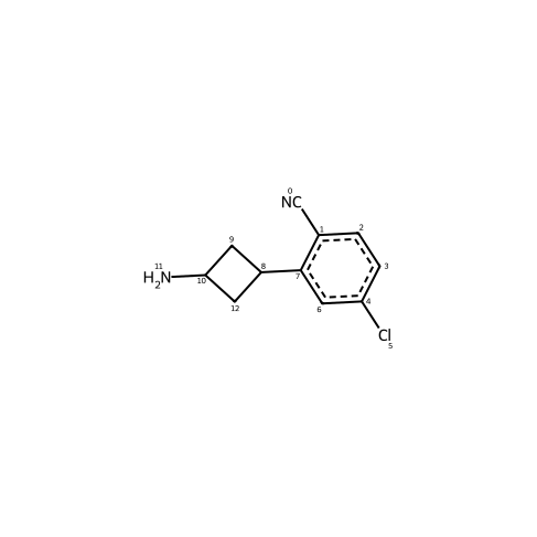 N#Cc1ccc(Cl)cc1C1CC(N)C1